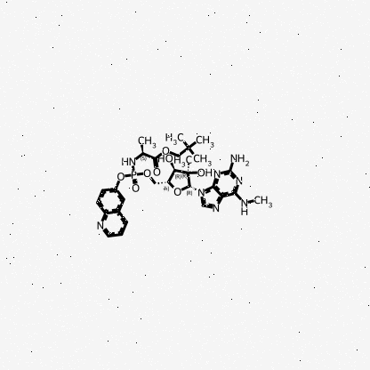 CNc1nc(N)nc2c1ncn2[C@@H]1O[C@H](COP(=O)(N[C@@H](C)C(=O)OCC(C)(C)C)Oc2ccc3ncccc3c2)[C@@H](O)[C@@]1(C)O